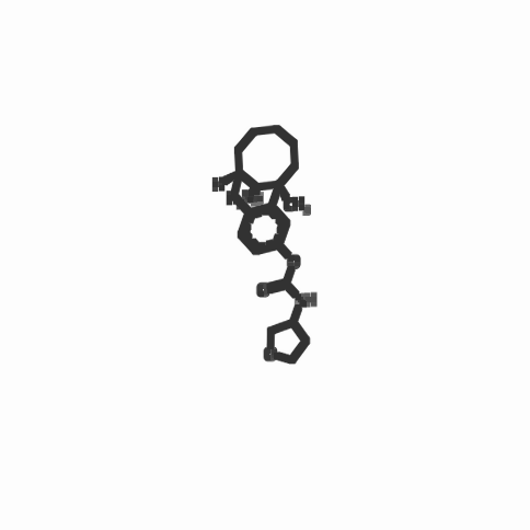 C[C@@]12CCCCC[C@@H](Cc3ccc(OC(=O)NC4CCOC4)cc31)[C@@H]2N